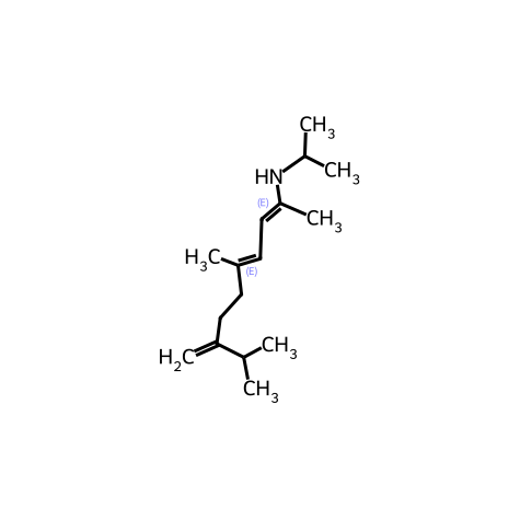 C=C(CC/C(C)=C/C=C(\C)NC(C)C)C(C)C